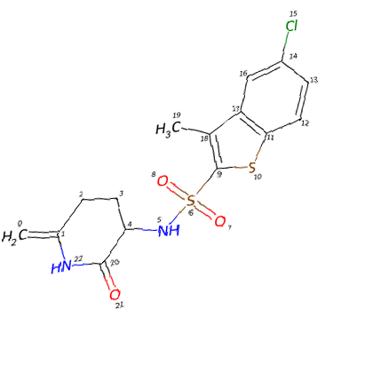 C=C1CCC(NS(=O)(=O)c2sc3ccc(Cl)cc3c2C)C(=O)N1